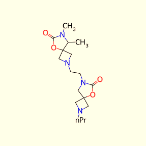 CCCN1CC2(C1)CN(CCN1CC3(C1)OC(=O)N(C)C3C)C(=O)O2